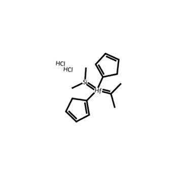 C[C](C)=[Hf]([C]1=CC=CC1)([C]1=CC=CC1)=[Si](C)C.Cl.Cl